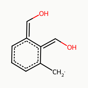 [CH2]c1cccc(=CO)c1=CO